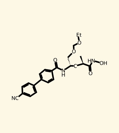 CCOCOC[C@H](C[C@@H](C)C(=O)NO)NC(=O)c1ccc(-c2ccc(C#N)cc2)cc1